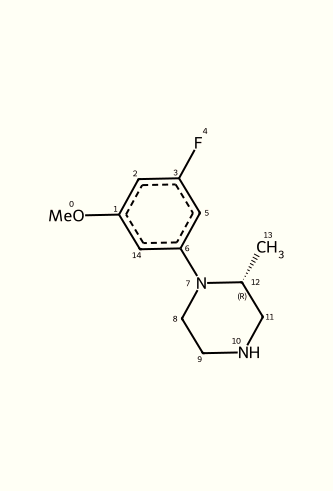 COc1cc(F)cc(N2CCNC[C@H]2C)c1